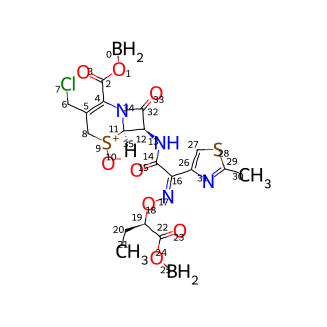 BOC(=O)C1=C(CCl)C[S+]([O-])[C@@H]2[C@H](NC(=O)/C(=N\O[C@H](CC)C(=O)OB)c3csc(C)n3)C(=O)N12